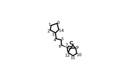 C1CCC(CCC[C@H]2SC3CCC2C3)C1